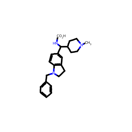 CN1CCC(C(NC(=O)O)c2ccc3c(c2)CCN3Cc2ccccc2)CC1